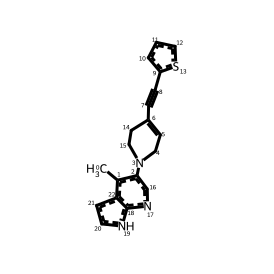 Cc1c(N2CC=C(C#Cc3cccs3)CC2)cnc2[nH]ccc12